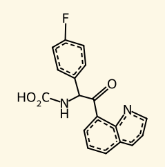 O=C(O)NC(C(=O)c1cccc2cccnc12)c1ccc(F)cc1